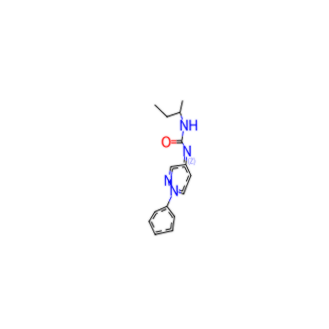 CCC(C)NC(=O)/N=c1/ccn(-c2ccccc2)nc1